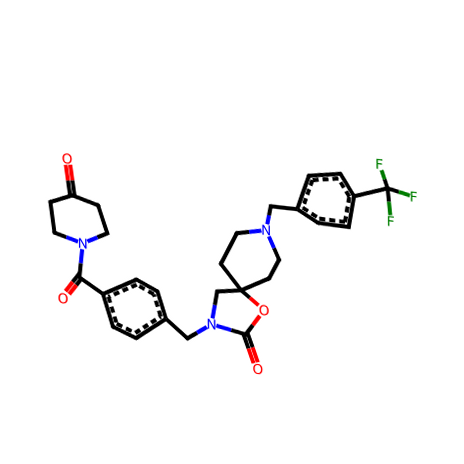 O=C1CCN(C(=O)c2ccc(CN3CC4(CCN(Cc5ccc(C(F)(F)F)cc5)CC4)OC3=O)cc2)CC1